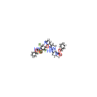 C[C@H]1CC[C@H](Nc2nccc(-c3cccnc3Oc3cc(F)c(NS(=O)(=O)Cc4ccccc4)c(F)c3F)n2)CN1C(=O)OCc1ccccc1